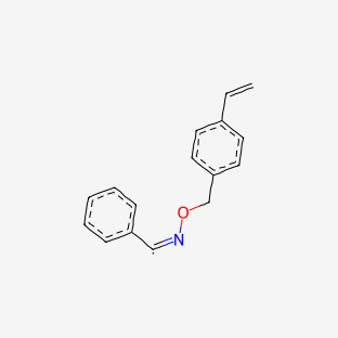 C=Cc1ccc(CO/N=[C]\c2ccccc2)cc1